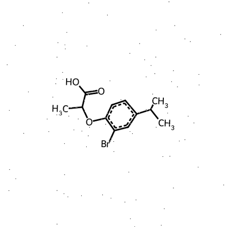 CC(Oc1ccc(C(C)C)cc1Br)C(=O)O